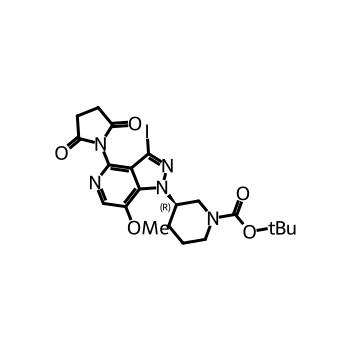 COc1cnc(N2C(=O)CCC2=O)c2c(I)nn([C@@H]3CCCN(C(=O)OC(C)(C)C)C3)c12